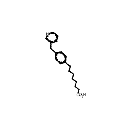 O=C(O)CCCCCCCc1ccc(Cc2cccnc2)cc1